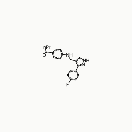 CCCC(=O)c1ccc(NCc2c[nH]nc2-c2ccc(F)cc2)cc1